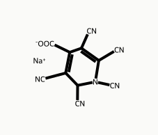 N#CC1=C(C#N)N(C#N)C(C#N)C(C#N)=C1C(=O)[O-].[Na+]